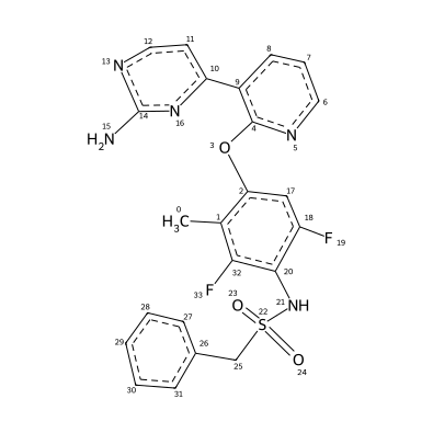 Cc1c(Oc2ncccc2-c2ccnc(N)n2)cc(F)c(NS(=O)(=O)Cc2ccccc2)c1F